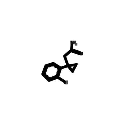 NC(=O)CC1(c2ccccc2Cl)CC1